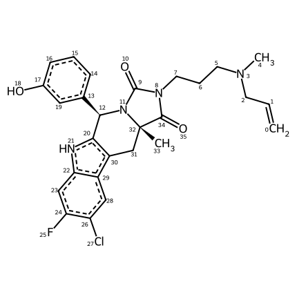 C=CCN(C)CCCN1C(=O)N2[C@H](c3cccc(O)c3)c3[nH]c4cc(F)c(Cl)cc4c3C[C@@]2(C)C1=O